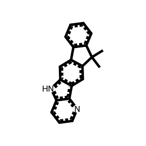 CC1(C)c2ccccc2-c2cc3[nH]c4cccnc4c3cc21